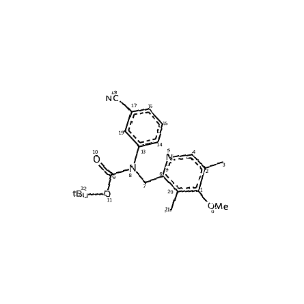 COc1c(C)cnc(CN(C(=O)OC(C)(C)C)c2cccc(C#N)c2)c1C